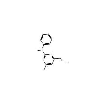 COCc1cc(C)nc(N(O)c2ccccc2)n1